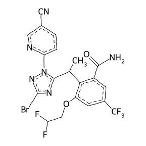 CC(c1c(OCC(F)F)cc(C(F)(F)F)cc1C(N)=O)c1nc(Br)nn1-c1ccc(C#N)cn1